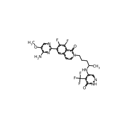 COc1cnc(-c2cc3ccn(CCCC(C)Nc4cn[nH]c(=O)c4C(F)(F)F)c(=O)c3c(F)c2F)nc1N